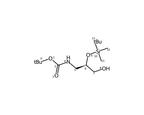 CC(C)(C)OC(=O)NC[C@H](CO)O[Si](C)(C)C(C)(C)C